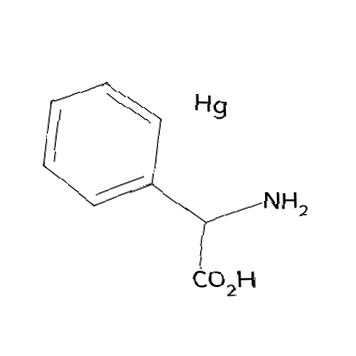 NC(C(=O)O)c1ccccc1.[Hg]